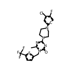 Cc1nc(N2CCN(c3ccc(F)c(Cl)c3)CC2)nc(=O)n1Cc1ccc(C(F)(F)F)s1